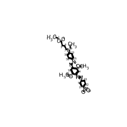 CCOC(=O)CCCN(CC)c1ccc(N=Nc2cc(OC)c(N=Nc3ccc([N+](=O)[O-])cc3)cc2OC)cc1